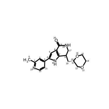 Cc1cc(-c2cc3c([nH]2)C(C[C@H]2COCCO2)CNC3=O)ccn1